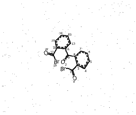 O=C(Br)c1ccccc1C(=O)c1ccccc1C(=O)Br